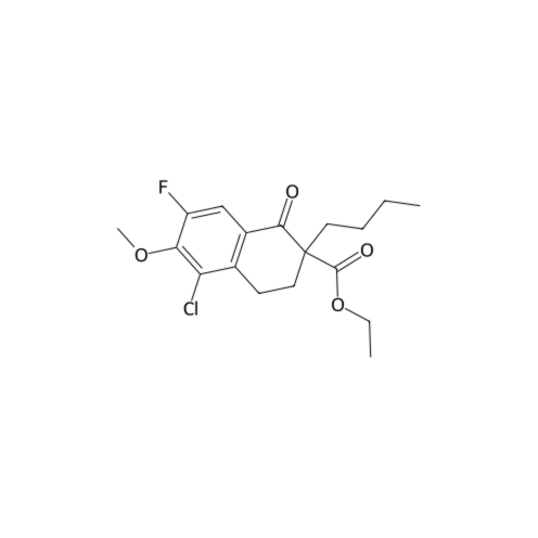 CCCCC1(C(=O)OCC)CCc2c(cc(F)c(OC)c2Cl)C1=O